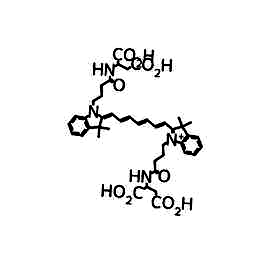 CC1(C)C(/C=C/C=C/C=C/C=C2/N(CCCC(=O)NC(CC(=O)O)C(=O)O)c3ccccc3C2(C)C)=[N+](CCCC(=O)NC(CC(=O)O)C(=O)O)c2ccccc21